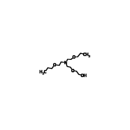 CCCOCCN(CCOCCC)CCOCCO